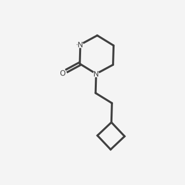 O=C1[N]CCCN1CCC1CCC1